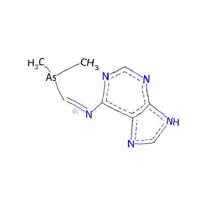 C[As](C)/C=N\c1ncnc2[nH]cnc12